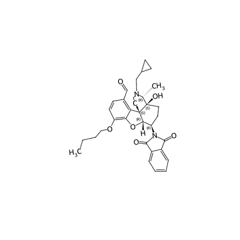 CCCCOc1ccc(C=O)c2c1O[C@H]1[C@H](N3C(=O)c4ccccc4C3=O)CC[C@@]3(O)[C@@H](C)N(CC4CC4)CC[C@]213